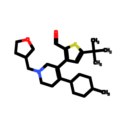 CC1CCC(C2=C(c3cc(C(C)(C)C)sc3C=O)CN(CC3CCOC3)CC2)CC1